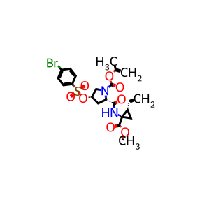 C=C[C@@H]1C[C@]1(NC(=O)[C@@H]1C[C@H](OS(=O)(=O)c2ccc(Br)cc2)CN1C(=O)OC(=C)C)C(=O)OC